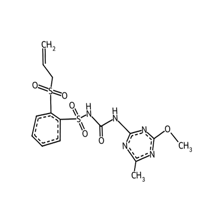 C=CCS(=O)(=O)c1ccccc1S(=O)(=O)NC(=O)Nc1nc(C)nc(OC)n1